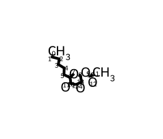 CCCCCCC1OC(OC(C)=O)C2OC2C1=O